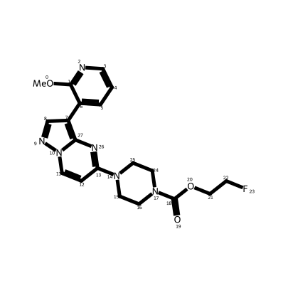 COc1ncccc1-c1cnn2ccc(N3CCN(C(=O)OCCF)CC3)nc12